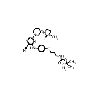 CN1CCN([C@@H]2CCCN(c3cnc(C#N)c(Nc4ccc(OCCCNC(=O)OC(C)(C)C)cc4)n3)C2)C1=O